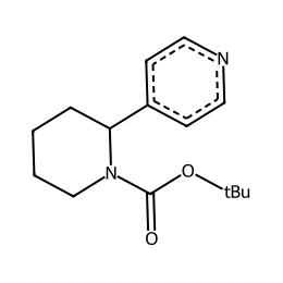 CC(C)(C)OC(=O)N1CCCCC1c1ccncc1